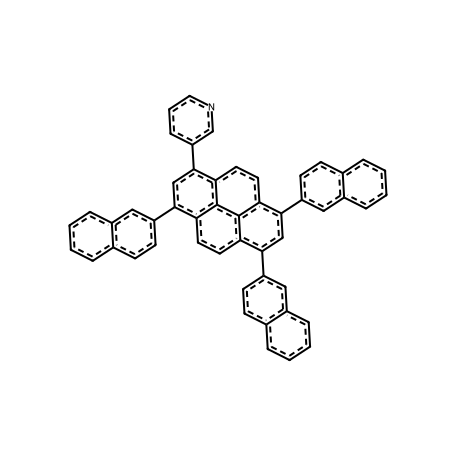 c1cncc(-c2cc(-c3ccc4ccccc4c3)c3ccc4c(-c5ccc6ccccc6c5)cc(-c5ccc6ccccc6c5)c5ccc2c3c54)c1